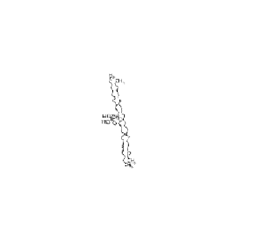 C=COCCCCCCCCCCCCCCCCCCCC.CCCCCCCCCCCCOCCCCCCCCCCCC.O=P(O)(O)O